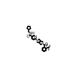 O=C(NCC1CCCC1)c1ccc(N2CC3=C(CN(C(=O)c4ccccc4C(F)(F)F)C3)C2)nc1